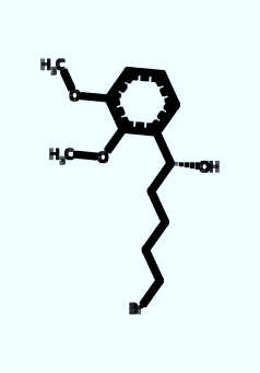 COc1cccc([C@H](O)CCCCBr)c1OC